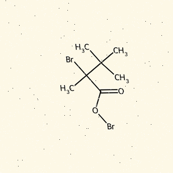 CC(C)(C)C(C)(Br)C(=O)OBr